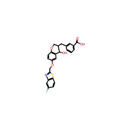 O=C(O)c1cccc(CC2COc3ccc(OCc4nc5cc(F)ccc5s4)cc3C2O)c1